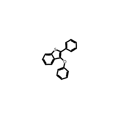 c1ccc(Oc2c(-c3ccccc3)sc3ccccc23)cc1